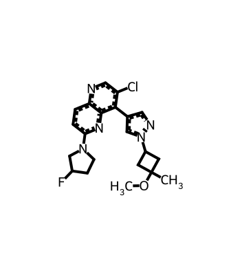 COC1(C)CC(n2cc(-c3c(Cl)cnc4ccc(N5CCC(F)C5)nc34)cn2)C1